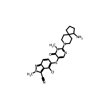 Cn1nc2ccc(Sc3cnc(N4CCC5(CCCC5N)CC4)n(C)c3=O)c(Cl)c2c1C#N